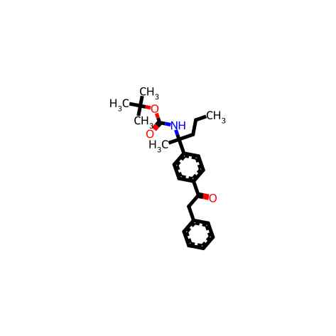 CCCC(C)(NC(=O)OC(C)(C)C)c1ccc(C(=O)Cc2ccccc2)cc1